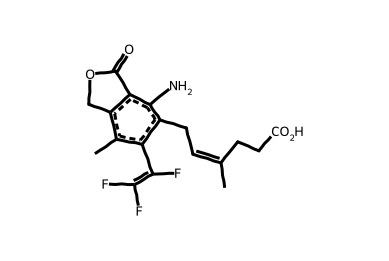 CC(=CCc1c(N)c2c(c(C)c1C(F)=C(F)F)COC2=O)CCC(=O)O